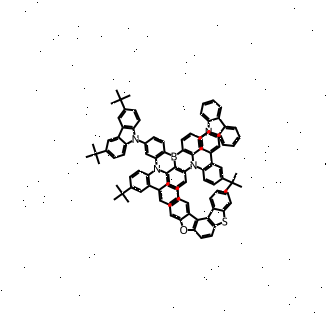 CC(C)(C)c1ccc(N2c3cc(-n4c5ccccc5c5ccccc54)ccc3B3c4ccc(-n5c6ccc(C(C)(C)C)cc6c6cc(C(C)(C)C)ccc65)cc4N(c4ccc(C(C)(C)C)cc4-c4ccccc4)c4cc(-c5ccc6oc7ccc8sc9ccccc9c8c7c6c5)cc2c43)c(-c2ccccc2)c1